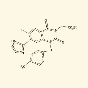 CCOC(=O)Cn1c(=O)c2cc(F)c(-c3ncc[nH]3)cc2n(Cc2ccc(C(F)(F)F)cc2)c1=O